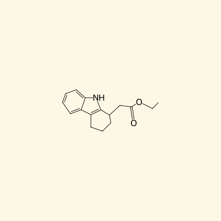 CCOC(=O)CC1CCCc2c1[nH]c1ccccc21